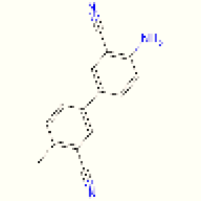 Cc1ccc(-c2ccc(N)c(C#N)c2)cc1C#N